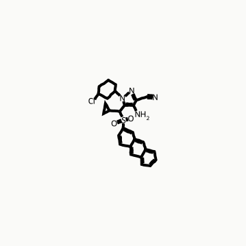 N#Cc1nn(C2CCCC(Cl)C2)c(C(C2CC2)S(=O)(=O)c2ccc3cc4ccccc4cc3c2)c1N